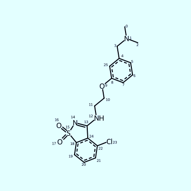 CN(C)Cc1cccc(OCCNC2=NS(=O)(=O)c3cccc(Cl)c32)c1